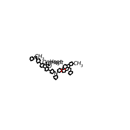 CCCCCCCC(=O)C1(C(=O)CCCCCCC)c2cc(-c3ccc(N(C)c4ccccc4)cc3)ccc2-c2ccc(-c3ccc(N(c4ccccc4)c4ccc(-c5ccc6c(c5)C(Cc5ccccc5)(Cc5ccccc5)c5cc(C)ccc5-6)cc4)cc3)cc21